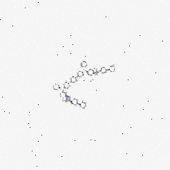 N=C1C=CC(N(c2ccccc2)c2ccc(-c3ccc(-c4ccc(N(c5ccccc5)c5ccc6nn(-c7ccc(-c8ccccc8)cc7)nc6c5)cc4)cc3)cc2)=C/C1=N/Nc1ccc(-c2ccccc2)cc1